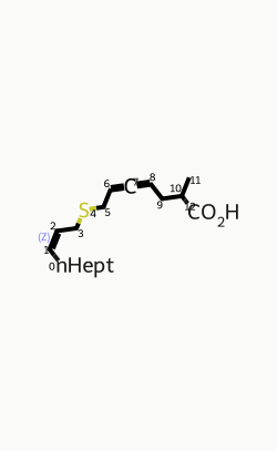 CCCCCCC/C=C\CSCC=C=CCC(C)C(=O)O